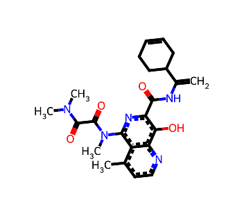 C=C(NC(=O)c1nc(N(C)C(=O)C(=O)N(C)C)c2c(C)ccnc2c1O)C1CC=CCC1